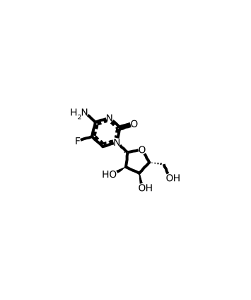 Nc1nc(=O)n([C]2O[C@H](CO)[C@@H](O)[C@H]2O)cc1F